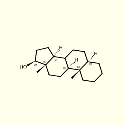 C[C@]12CCCC[C@@H]1CCC1[C@@H]2CC[C@]2(C)[C@@H](O)CC[C@@H]12